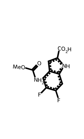 COC(N)=O.O=C(O)c1cc2cc(F)c(F)cc2[nH]1